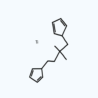 CC(C)(CCC1C=CC=C1)CC1C=CC=C1.[Ti]